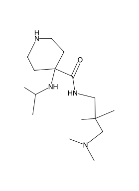 CC(C)NC1(C(=O)NCC(C)(C)CN(C)C)CCNCC1